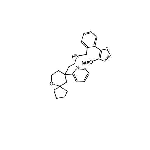 COc1ccsc1-c1ccccc1CNCCC1(c2ccccn2)CCOC2(CCCC2)C1